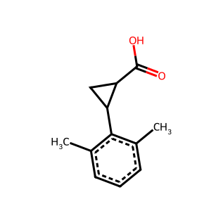 Cc1cccc(C)c1C1CC1C(=O)O